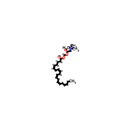 CC/C=C\C/C=C\C/C=C\C/C=C\C/C=C\CCCC(=O)OCOC(=O)C[N+](C)(C)C